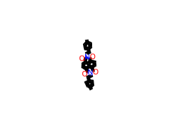 Cc1ccc(CCN2C(=O)c3ccc4c5c(ccc(c35)C2=O)C(=O)N(CCc2ccc(C)cc2)C4=O)cc1